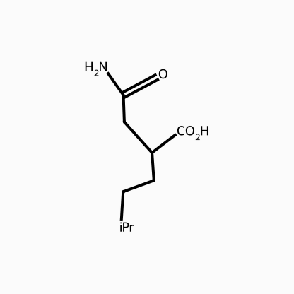 CC(C)CCC(CC(N)=O)C(=O)O